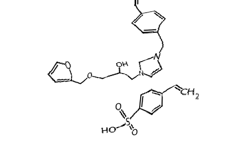 C=Cc1ccc(CN2C=CN(CC(O)COCc3ccco3)C2)cc1.C=Cc1ccc(S(=O)(=O)O)cc1